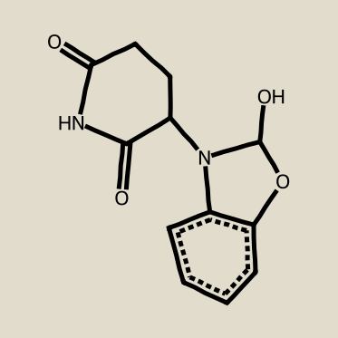 O=C1CCC(N2c3ccccc3OC2O)C(=O)N1